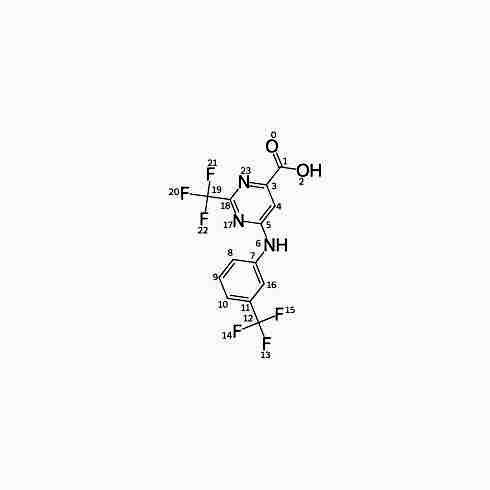 O=C(O)c1cc(Nc2cccc(C(F)(F)F)c2)nc(C(F)(F)F)n1